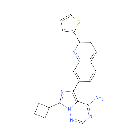 Nc1ncnn2c(C3CCC3)nc(-c3ccc4ccc(-c5cccs5)nc4c3)c12